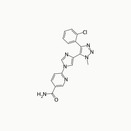 Cn1nnc(-c2ccccc2Cl)c1-c1cn(-c2ccc(C(N)=O)cn2)cn1